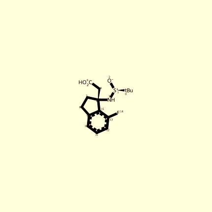 CC(C)(C)[S@+]([O-])N[C@@]1(CC(=O)O)CCc2cccc(F)c21